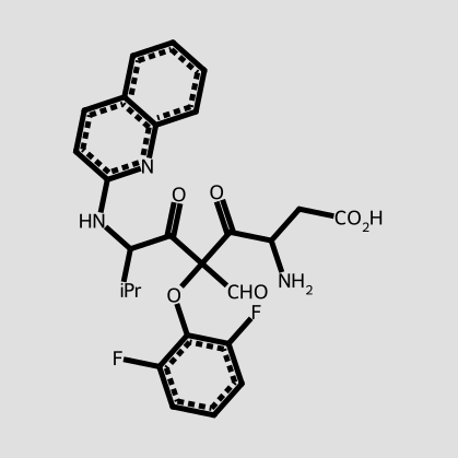 CC(C)C(Nc1ccc2ccccc2n1)C(=O)C(C=O)(Oc1c(F)cccc1F)C(=O)C(N)CC(=O)O